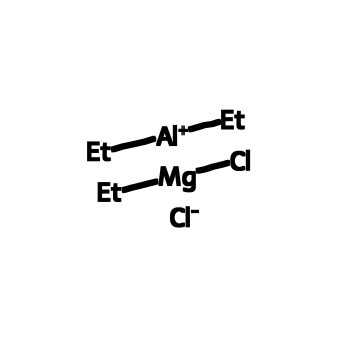 C[CH2][Al+][CH2]C.C[CH2][Mg][Cl].[Cl-]